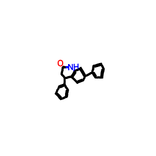 O=C1CC(c2ccccc2)c2ccc(-c3ccccc3)cc2N1